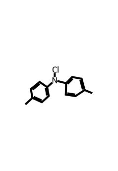 Cc1ccc(N(Cl)c2ccc(C)cc2)cc1